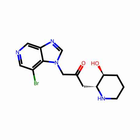 O=C(C[C@H]1NCCC[C@@H]1O)Cn1cnc2cncc(Br)c21